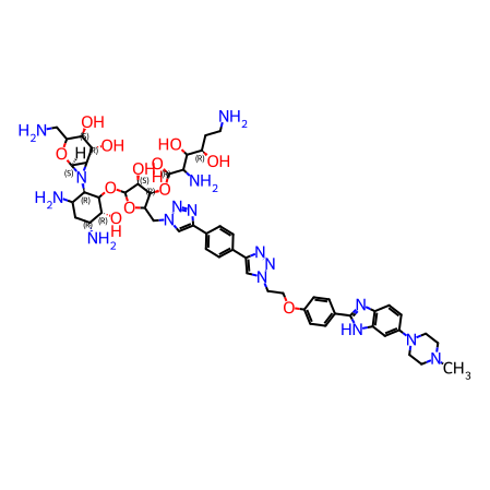 CN1CCN(c2ccc3nc(-c4ccc(OCCn5cc(-c6ccc(-c7cn(CC8OC(OC9[C@H](N%10C%11[C@@H](O)[C@H](O)C(CN)O[C@@H]%11%10)C(N)C[C@@H](N)[C@H]9O)[C@@H](O)[C@H]8O[C@@H](O)C(N)C(O)[C@H](O)CCN)nn7)cc6)nn5)cc4)[nH]c3c2)CC1